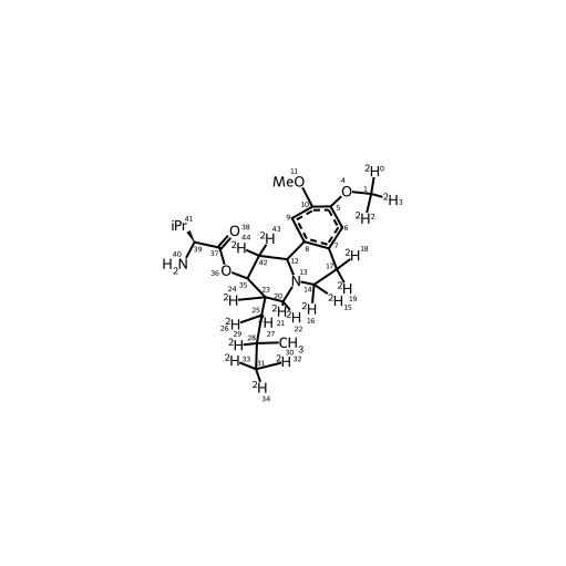 [2H]C([2H])([2H])Oc1cc2c(cc1OC)C1N(C([2H])([2H])C2([2H])[2H])C([2H])([2H])C([2H])(C([2H])([2H])C([2H])(C)C([2H])([2H])[2H])C(OC(=O)[C@@H](N)C(C)C)C1([2H])[2H]